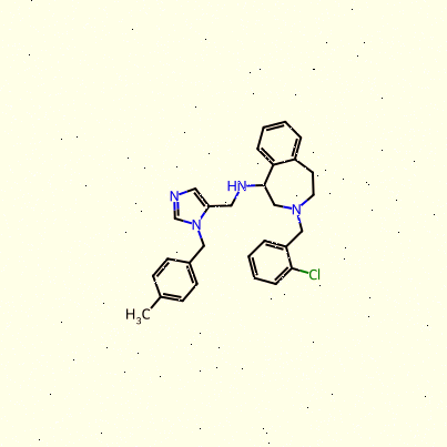 Cc1ccc(Cn2cncc2CNC2CN(Cc3ccccc3Cl)CCc3ccccc32)cc1